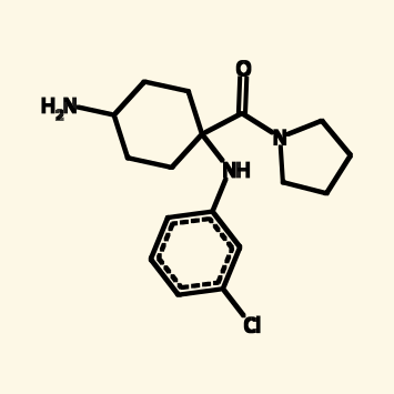 NC1CCC(Nc2cccc(Cl)c2)(C(=O)N2CCCC2)CC1